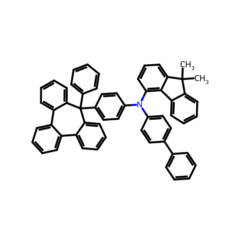 CC1(C)c2ccccc2-c2c(N(c3ccc(-c4ccccc4)cc3)c3ccc(C4(c5ccccc5)c5ccccc5-c5ccccc5-c5ccccc54)cc3)cccc21